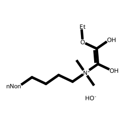 CCCCCCCCCCCCC[N+](C)(C)C(O)=C(O)OCC.[OH-]